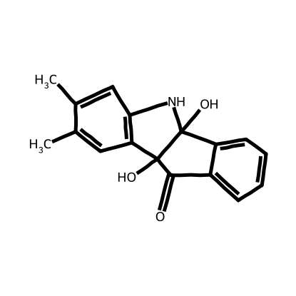 Cc1cc2c(cc1C)C1(O)C(=O)c3ccccc3C1(O)N2